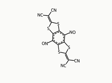 N#CC(C#N)=C1Sc2c(N=O)c3c(c(N=O)c2S1)SC(=C(C#N)C#N)S3